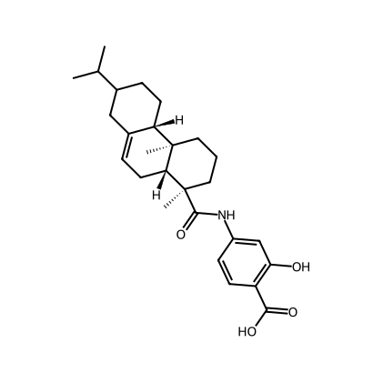 CC(C)C1CC[C@H]2C(=CC[C@@H]3[C@]2(C)CCC[C@@]3(C)C(=O)Nc2ccc(C(=O)O)c(O)c2)C1